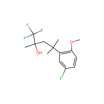 COc1ccc(F)cc1C(C)(C)CC(C)(O)C(F)(F)F